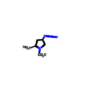 [N-]=[N+]=N[C@@H]1C[C@H](C(=O)O)N(C(=O)O)C1